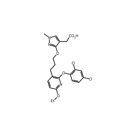 CCOc1ccc(CCCOc2nn(C)cc2CC(=O)O)c(Oc2ccc(Cl)cc2Cl)n1